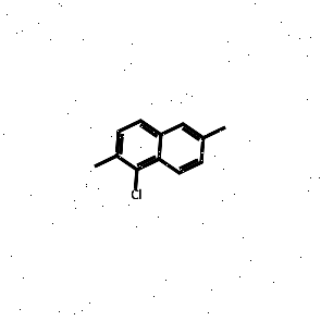 Cc1ccc2c(Cl)c(C)ccc2c1